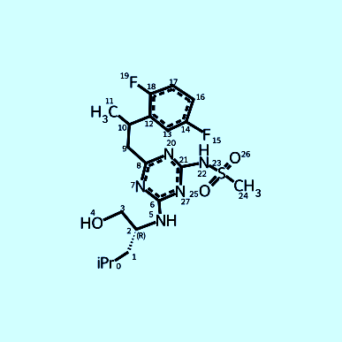 CC(C)C[C@H](CO)Nc1nc(CC(C)c2cc(F)ccc2F)nc(NS(C)(=O)=O)n1